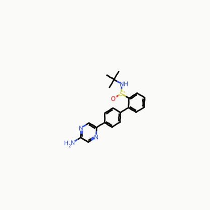 CC(C)(C)N[S+]([O-])c1ccccc1-c1ccc(-c2cnc(N)cn2)cc1